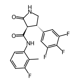 Cc1c(F)cccc1NC(=O)[C@H]1C(=O)NC[C@@H]1c1cc(F)c(F)c(F)c1